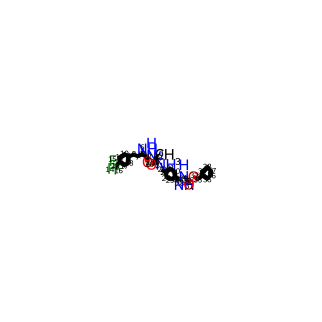 C[C@H](NC(=O)[C@H](N)CCc1ccc(C(F)(F)F)cc1)C(=O)NCc1ccc(C(=N)NC(=O)OCc2ccccc2)cc1